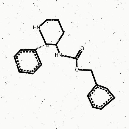 O=C(NC1CCCN[C@H]1c1ccccc1)OCc1ccccc1